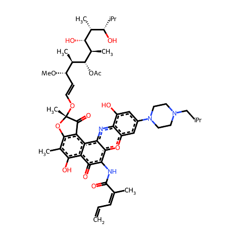 C=C/C=C(/C)C(=O)Nc1c2oc3cc(N4CCN(CC(C)C)CC4)cc(O)c3nc-2c2c3c(c(C)c(O)c2c1=O)O[C@](C)(O/C=C/[C@H](OC)[C@@H](C)[C@@H](OC(C)=O)[C@H](C)[C@H](O)[C@H](C)[C@@H](O)C(C)C)C3=O